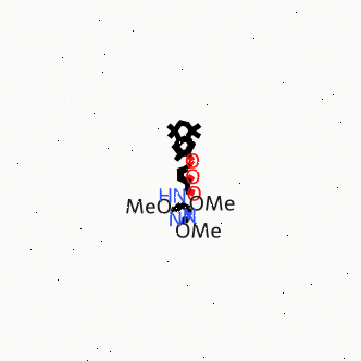 COc1nc(OC)c(NC(=O)c2ccc(Oc3cc4c(cc3C)C(C)(C)CCC4(C)C)o2)c(OC)n1